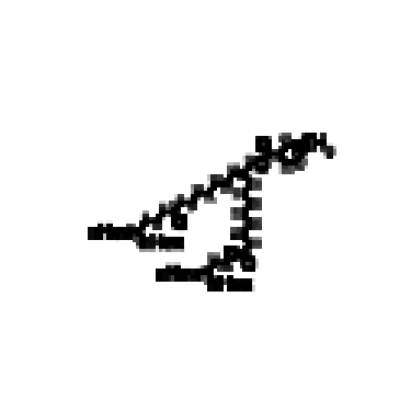 CCCCCCC(CCCCCC)CCCC(=O)CCCCCCCC(CCCCCCCC(=O)OCCC(CCCCCC)CCCCCC)COC(=O)C1CCN(C)C1